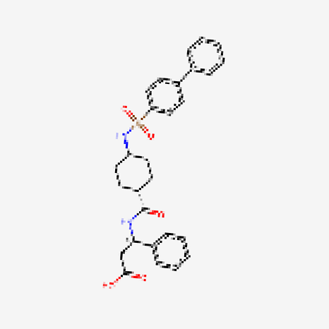 O=C(O)C[C@@H](NC(=O)[C@H]1CC[C@H](NS(=O)(=O)c2ccc(-c3ccccc3)cc2)CC1)c1ccccc1